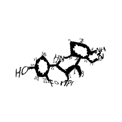 CCCC1=C(C)c2c(ccc3[nH]ncc23)NC1c1ccc(O)cc1F